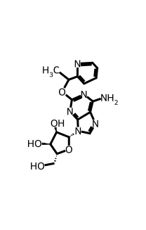 CC(Oc1nc(N)c2ncn([C@@H]3O[C@H](CO)[C@@H](O)[C@H]3O)c2n1)c1ccccn1